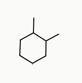 CC1C[CH]CCC1C